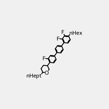 CCCCCCCC1CCC(c2ccc(-c3ccc(-c4ccc(CCCCCC)c(F)c4F)cc3)cc2F)CO1